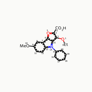 CCOc1c(C(=O)O)oc2c3cc(OC)ccc3n(-c3ccccc3)c12